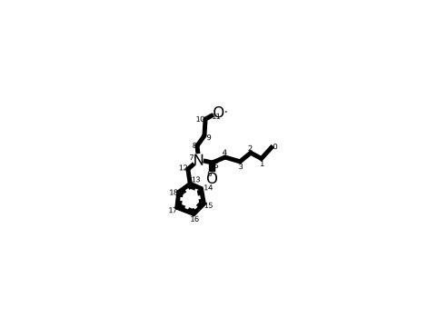 CCCCCC(=O)N(CCC[O])Cc1ccccc1